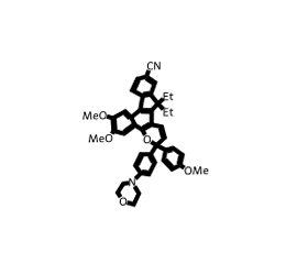 CCC1(CC)c2cc(C#N)ccc2-c2c1c1c(c3cc(OC)c(OC)cc23)OC(c2ccc(OC)cc2)(c2ccc(N3CCOCC3)cc2)C=C1